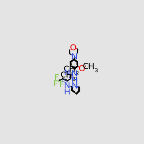 C=N/C(=C\C(Nc1ccccn1)=C(/C)C(F)(F)F)Nc1ccc(N2CCOCC2)cc1OC